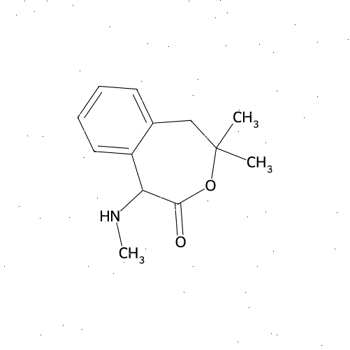 CNC1C(=O)OC(C)(C)Cc2ccccc21